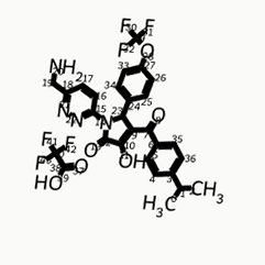 CC(C)c1ccc(C(=O)C2=C(O)C(=O)N(c3ccc(CN)nn3)C2c2ccc(OC(F)(F)F)cc2)cc1.O=C(O)C(F)(F)F